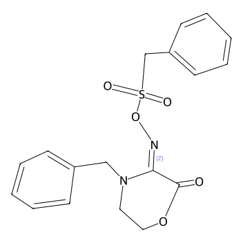 O=C1OCCN(Cc2ccccc2)/C1=N\OS(=O)(=O)Cc1ccccc1